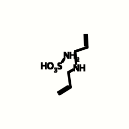 C=CCNCC=C.NS(=O)(=O)O